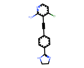 Nc1nccc(Cl)c1C#Cc1ccc(C2=NCCN2)cc1